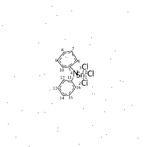 [Cl][Sn]([Cl])([Cl])[N](c1ccccc1)c1ccccc1